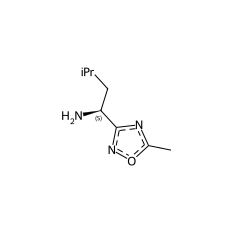 Cc1nc([C@@H](N)CC(C)C)no1